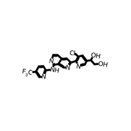 OCC(O)c1cnc(-c2cc3ccnc(Nc4ccc(C(F)(F)F)cn4)c3cn2)c(Cl)c1